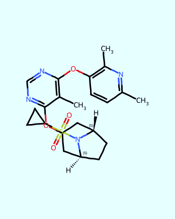 Cc1ccc(Oc2ncnc(OC3C[C@@H]4CC[C@@H](C3)N4S(=O)(=O)C3CC3)c2C)c(C)n1